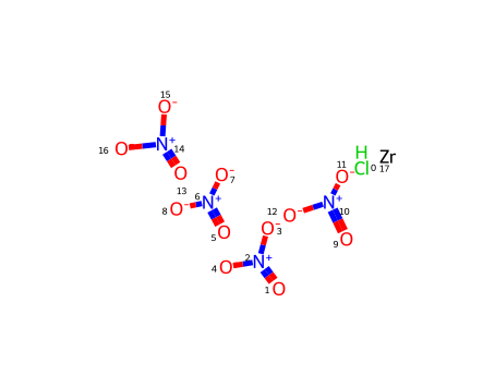 Cl.O=[N+]([O-])[O-].O=[N+]([O-])[O-].O=[N+]([O-])[O-].O=[N+]([O-])[O-].[Zr]